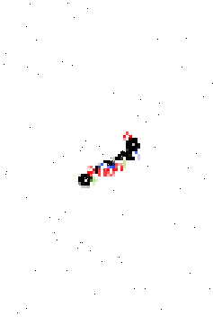 COc1ccc2ncc(F)c(CCC[C@@H](CNCCOc3cc(F)ccc3F)C(=O)O)c2c1